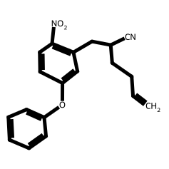 C=CCCC(C#N)Cc1cc(Oc2ccccc2)ccc1[N+](=O)[O-]